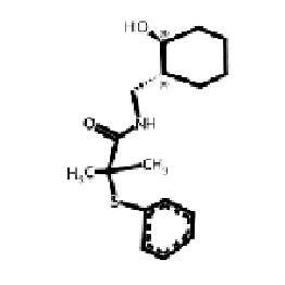 CC(C)(Sc1ccccc1)C(=O)NC[C@H]1CCCC[C@@H]1O